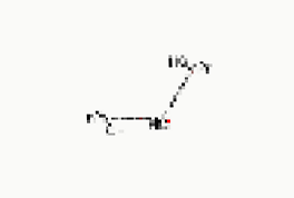 CCCC(CCO)CCCCCCCCCCCCCCN(C)CCCCCCCCCCCCCCC(CCC)CCO.Cl